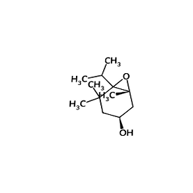 CC(C)C12O[C@]1(C)C[C@@H](O)CC2(C)C